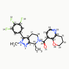 C[C@H]1c2nn(C)c(-c3cc(F)c(F)c(F)c3)c2CCN1C(=O)c1ccnc2c1OCCC2